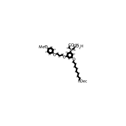 CCCCCCCCCCCCCCCCCCOc1cc(OCCCOc2ccc(OC)cc2)cc(N(CC(=O)O)CC(=O)O)c1